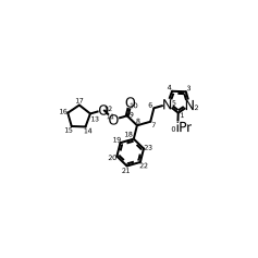 CC(C)c1nccn1CCC(C(=O)OOC1CCCC1)c1ccccc1